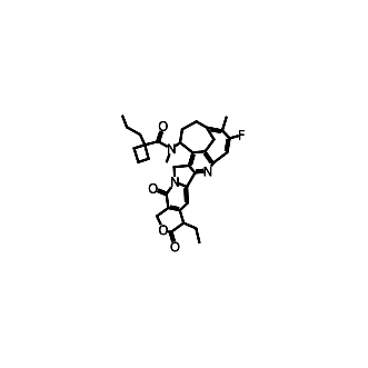 CCCC1(C(=O)N(C)C2CCC3=C(C)C(F)=Cc4nc5c(c2c4C3)Cn2c-5cc3c(c2=O)COC(=O)C3CC)CCC1